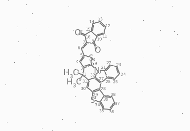 CC1(C)c2cc(C=C3C(=O)c4ccccc4C3=O)sc2-n2c3ccccc3c3c4c(cc1c32)sc1ccccc14